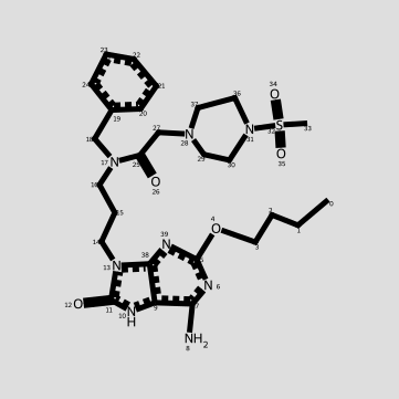 CCCCOc1nc(N)c2[nH]c(=O)n(CCCN(Cc3cc[c]cc3)C(=O)CN3CCN(S(C)(=O)=O)CC3)c2n1